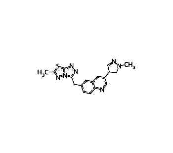 Cc1nn2c(Cc3ccc4ncc(C5C=NN(C)C5)cc4c3)nnc2s1